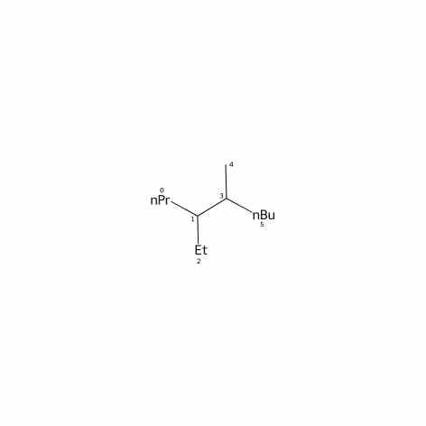 [CH2]CCC(CC)C(C)CCCC